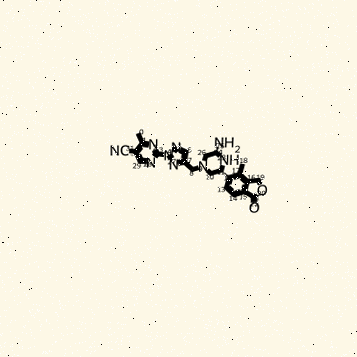 Cc1nc(-n2ncc(CN3C[C@@H](c4ccc5c(c4C)COC5=O)N[C@@H](N)C3)n2)ncc1C#N